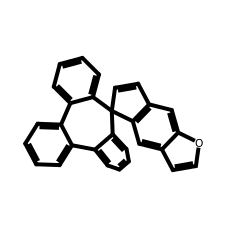 C1=CC2(c3cc4ccoc4cc31)c1ccccc1-c1ccccc1-c1ccccc12